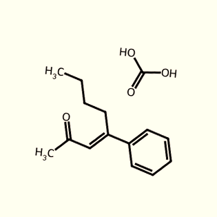 CCCCC(=CC(C)=O)c1ccccc1.O=C(O)O